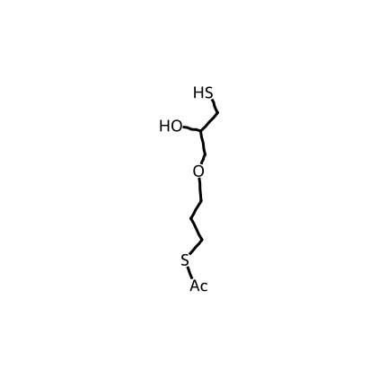 CC(=O)SCCCOCC(O)CS